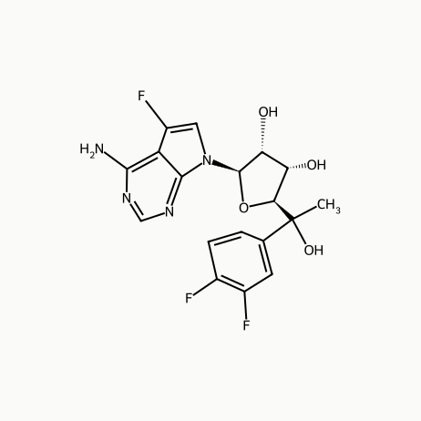 CC(O)(c1ccc(F)c(F)c1)[C@H]1O[C@@H](n2cc(F)c3c(N)ncnc32)[C@H](O)[C@@H]1O